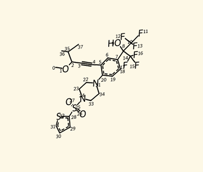 COC(C#Cc1cc(C(O)(C(F)(F)F)C(F)(F)F)ccc1N1CCN(S(=O)(=O)c2cccs2)CC1)C(C)C